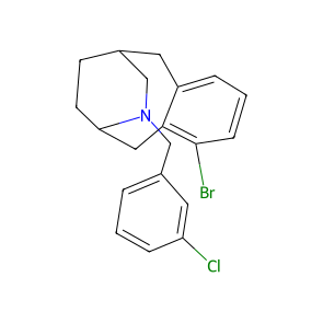 Clc1cccc(CN2CC3CCC2Cc2c(Br)cccc2C3)c1